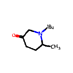 CC1CCC(=O)CN1C(C)(C)C